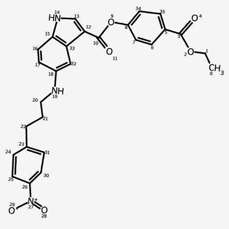 CCOC(=O)c1ccc(OC(=O)c2c[nH]c3ccc(NCCCc4ccc([N+](=O)[O-])cc4)cc23)cc1